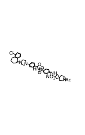 CC(=O)N1CCC2(CC1)CC(CNc1ccc(S(=O)(=O)NC(=O)c3ccc(N4CCN([C@@H]5CCCCc6c(Cl)cccc65)CC4)cc3)cc1[N+](=O)[O-])C2